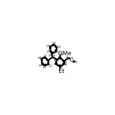 C=C=Cc1cc(CC)cc(C(c2ccccc2)c2ccccc2)c1OC